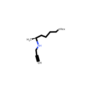 C#CCN[C@@H](C)CCCCCCCCCC